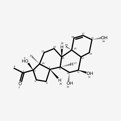 CC(=O)[C@@]1(O)CC[C@H]2[C@@H]3[C@@H](O)[C@H](O)C4C[C@@H](O)C=C[C@]4(C)[C@H]3CC[C@@]21C